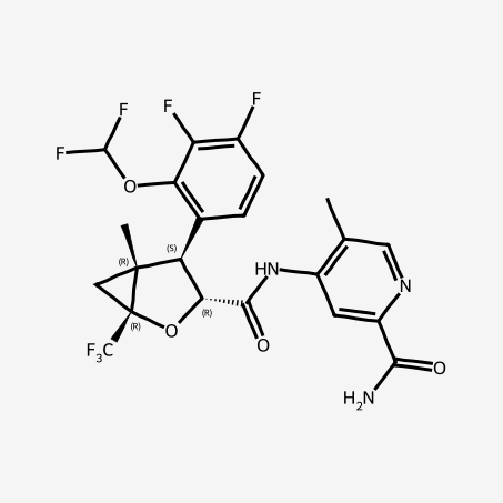 Cc1cnc(C(N)=O)cc1NC(=O)[C@@H]1O[C@]2(C(F)(F)F)C[C@]2(C)[C@H]1c1ccc(F)c(F)c1OC(F)F